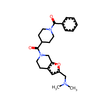 CN(C)Cc1cc2c(o1)CN(C(=O)C1CCN(C(=O)c3ccccc3)CC1)CC2